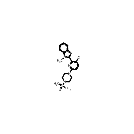 C=S(C)(=O)N1CCN(c2ccc(Cl)c(-c3nc4ccccc4n3C)n2)CC1